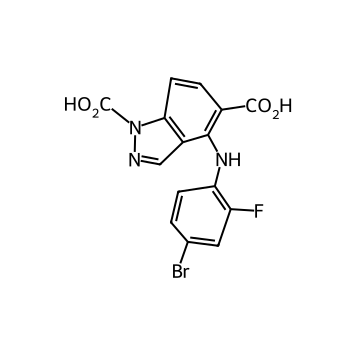 O=C(O)c1ccc2c(cnn2C(=O)O)c1Nc1ccc(Br)cc1F